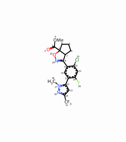 COC(=O)C12CCCC1C(c1cc(-c3cc(C(F)(F)F)nn3C)c(F)cc1Cl)=NO2